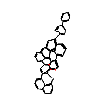 c1ccc(-c2ccc(-c3ccc(N(c4ccccc4-c4ccc5c(c4)-c4cccc6cccc(c46)O5)c4ccccc4-c4ccccc4-c4ccccc4-c4ccccc4)cc3)cc2)cc1